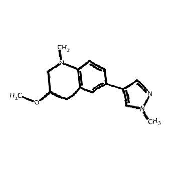 COC1Cc2cc(-c3cnn(C)c3)ccc2N(C)C1